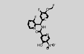 O=C(N[C@@H](c1ccc(OCF)c(F)c1)c1ncccc1F)c1cc(O)c([N+](=O)[O-])cn1